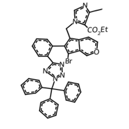 CCOC(=O)c1c(C)ncn1Cc1c2ccocc-2c(Br)c1-c1ccccc1-c1nnn(C(c2ccccc2)(c2ccccc2)c2ccccc2)n1